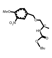 COc1ccc(COC[C@@H](C)NC(=O)OC(C)(C)C)cc1[N+](=O)[O-]